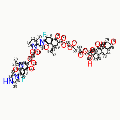 COc1c2c(cc(F)c1N1CC3CCCN(C(=O)OCOC(=O)c4cn(C5CC5)c5c(OC)c(N6CCNC(C)C6)c(F)cc5c4=O)C3C1)C(=O)C(C(=O)OCOC(=O)CCC(=O)OCC(=O)[C@@]1(O)CCC3C4CCC5=CC(=O)C=C[C@]5(C)C4[C@@H](O)C[C@@]31C)=CC2C1CC1